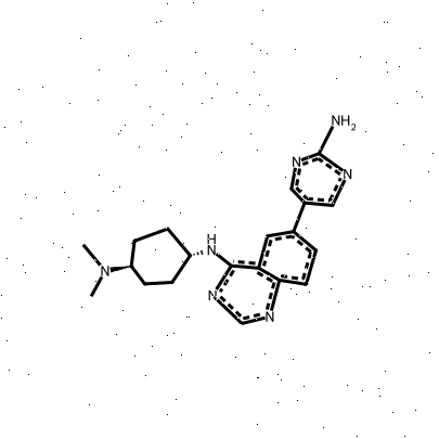 CN(C)[C@H]1CC[C@H](Nc2ncnc3ccc(-c4cnc(N)nc4)cc23)CC1